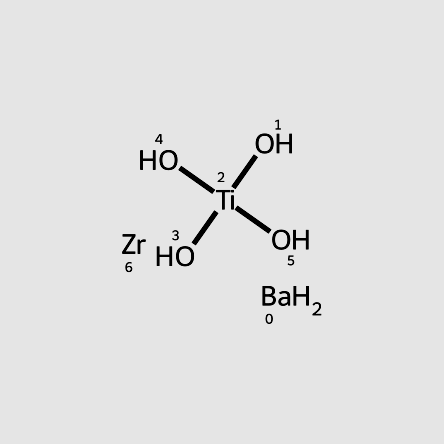 [BaH2].[OH][Ti]([OH])([OH])[OH].[Zr]